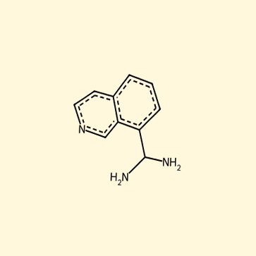 NC(N)c1cccc2ccncc12